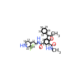 CNC(=O)c1cc(C(=O)NCCC2CCNCC2(F)F)cc2c1OC(C)C2c1ccccc1